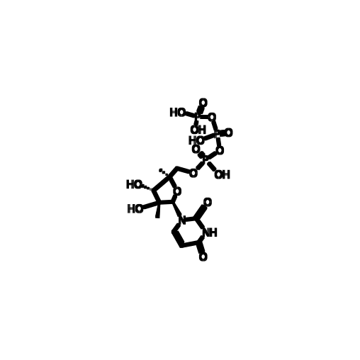 C[C@]1(O)[C@H](n2ccc(=O)[nH]c2=O)O[C@](C)(COP(=O)(O)OP(=O)(O)OP(=O)(O)O)[C@H]1O